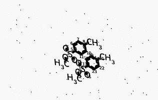 COS(=O)(=O)c1ccc(C)cc1.COS(=O)(=O)c1ccc(C)cc1